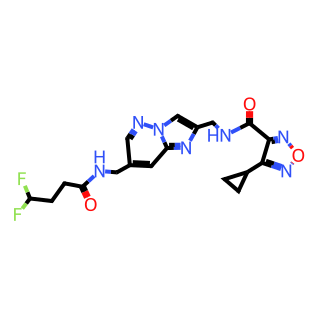 O=C(CCC(F)F)NCc1cnn2cc(CNC(=O)c3nonc3C3CC3)nc2c1